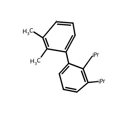 Cc1[c]ccc(-c2cccc(C(C)C)c2C(C)C)c1C